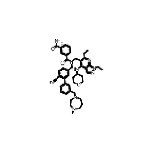 CCc1nc2c(cnn2CC)c(NC2CCOCC2)c1CN(Cc1ccc(C#N)c(-c2cccc(CN3CCCN(C)CC3)c2)c1)C(=O)c1cccc(C(N)=O)c1